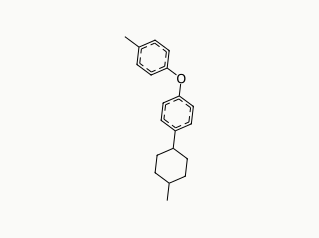 Cc1ccc(Oc2ccc(C3CCC(C)CC3)cc2)cc1